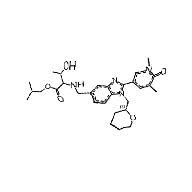 Cc1cc(-c2nc3cc(CNC(C(=O)OCC(C)C)C(C)O)ccc3n2C[C@@H]2CCCCO2)cn(C)c1=O